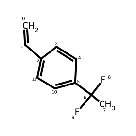 C=Cc1ccc(C(C)(F)F)cc1